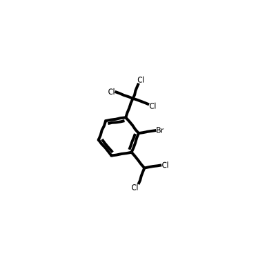 ClC(Cl)c1cccc(C(Cl)(Cl)Cl)c1Br